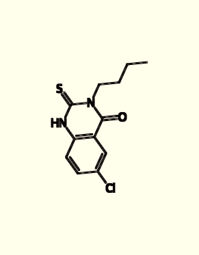 CCCCn1c(=S)[nH]c2ccc(Cl)cc2c1=O